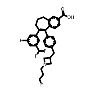 O=C(O)c1ccc2c(c1)CCCC(c1cc(F)cc(C(F)F)c1)=C2c1ccc(CC2CN(CCCF)C2)cc1